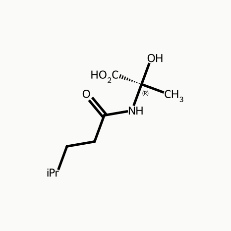 CC(C)CCC(=O)N[C@](C)(O)C(=O)O